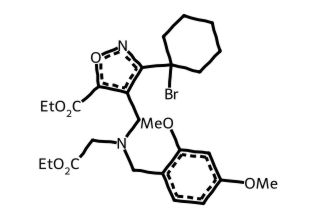 CCOC(=O)CN(Cc1ccc(OC)cc1OC)Cc1c(C2(Br)CCCCC2)noc1C(=O)OCC